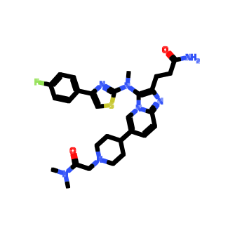 CN(C)C(=O)CN1CCC(c2ccc3nc(CCC(N)=O)c(N(C)c4nc(-c5ccc(F)cc5)cs4)n3c2)CC1